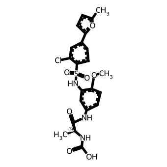 COc1ccc(NC(=O)[C@H](C)NC(=O)O)cc1NS(=O)(=O)c1ccc(-c2ccc(C)o2)cc1Cl